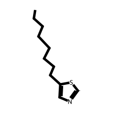 CCCCCCCCc1cn[c]s1